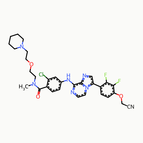 CN(CCOCCN1CCCCC1)C(=O)c1ccc(Nc2nccn3c(-c4ccc(OCC#N)c(F)c4F)cnc23)cc1Cl